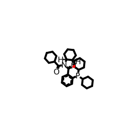 O=C(C1CCCCC1)N1C(c2ccccc2P(C2CCCCC2)C2CCCCC2)=N[C@@H]2CCCC[C@H]21